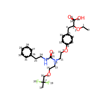 CCOC(Cc1ccc(OCCN(CCOCC(C)(F)F)C(=O)NCCc2ccccc2)cc1)C(=O)O